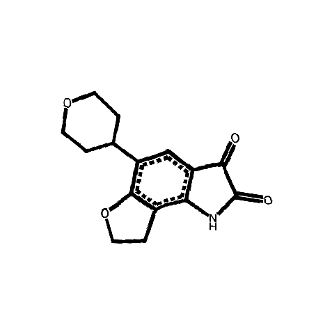 O=C1Nc2c(cc(C3CCOCC3)c3c2CCO3)C1=O